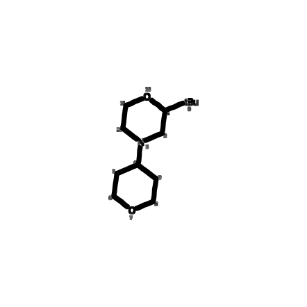 CC(C)(C)C1CN(C2CCOCC2)CCO1